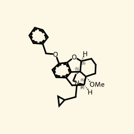 CO[C@@]12CCC[C@@H]3Oc4c(OCc5ccccc5)ccc5c4[C@@]31CCN(CC1CC1)[C@@H]2C5